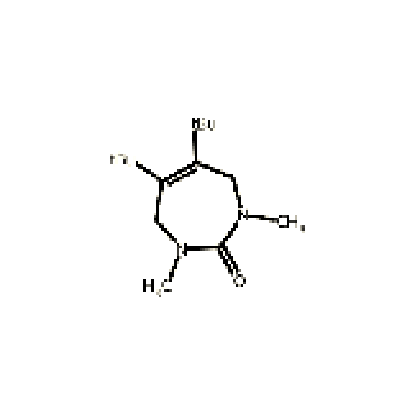 CN1CC(C(C)(C)C)=C(C(C)(C)C)CN(C)C1=O